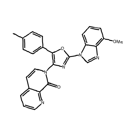 COc1cccc2c1ncn2-c1nc(-n2ccc3cccnc3c2=O)c(-c2ccc(C)cc2)o1